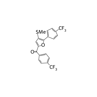 CSc1cc(C(=O)c2ccc(C(F)(F)F)cc2)oc1-c1ccc(C(F)(F)F)cc1